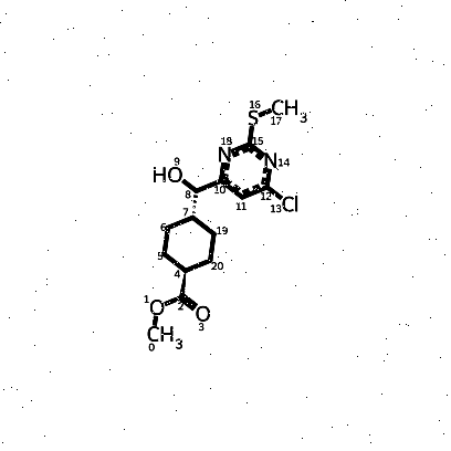 COC(=O)[C@H]1CC[C@H](C(O)c2cc(Cl)nc(SC)n2)CC1